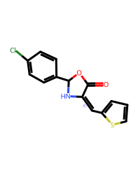 O=C1OC(c2ccc(Cl)cc2)N/C1=C/c1cccs1